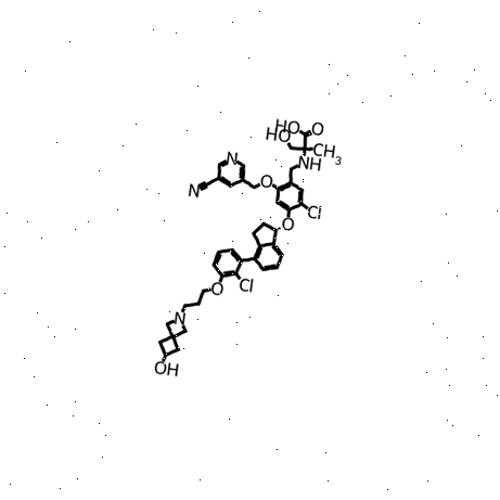 CC(CO)(NCc1cc(Cl)c(O[C@H]2CCc3c(-c4cccc(OCCCN5CC6(CC(O)C6)C5)c4Cl)cccc32)cc1OCc1cncc(C#N)c1)C(=O)O